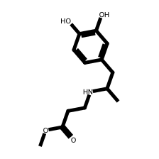 COC(=O)CCNC(C)Cc1ccc(O)c(O)c1